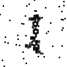 CN/C=C\C(O)[C@@H](C)C(C)CCNCc1ccc(-c2ccc(C(C)(O)C(F)(F)F)cc2)cc1